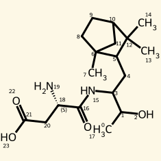 CC(O)C(CC1C2(C)CCC(C2)C1(C)C)NC(=O)[C@@H](N)CC(=O)O